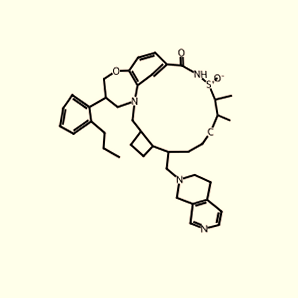 CCCc1ccccc1C1COc2ccc3cc2N(C1)CC1CCC1C(CN1CCc2ccncc2C1)CCCC(C)C(C)[S+]([O-])NC3=O